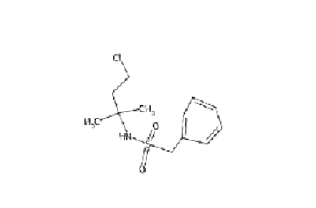 CC(C)(CCCl)NS(=O)(=O)Cc1ccccc1